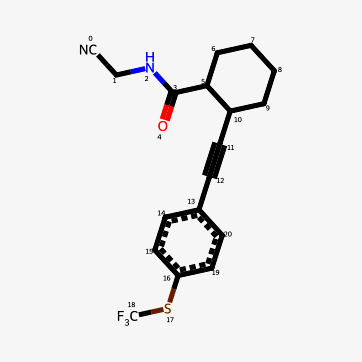 N#CCNC(=O)C1CCCCC1C#Cc1ccc(SC(F)(F)F)cc1